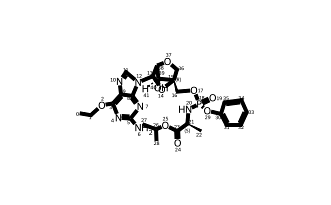 CCOc1nc(N)nc2c1ncn2C1O[C@@]2(COP(=O)(N[C@@H](C)C(=O)OC(C)C)Oc3ccccc3)COC1[C@@H]2O